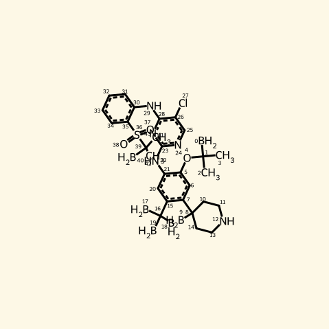 BC(C)(C)Oc1cc(C2(B)CCNCC2)c(C(B)(B)B)cc1Nc1ncc(Cl)c(Nc2ccccc2S(=O)(=O)C(B)(C)C)n1